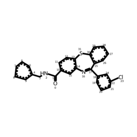 O=C(NCc1ccccc1)c1ccc2c(c1)N=C(c1cccc(Cl)c1)c1ccccc1S2